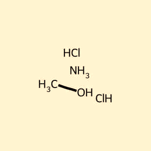 CO.Cl.Cl.N